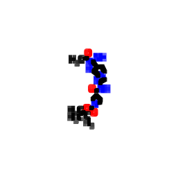 CC(=O)NC(=N)c1ccn2cc(NC(=O)[C@H]3CCN(C(=O)OC(C)(C)C)C3)nc2c1